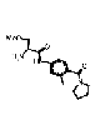 COCC(N)C(=O)Nc1ccc(C(=O)N2CCCC2)c(C)c1